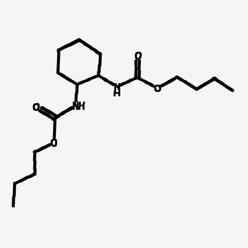 CCCCOC(=O)NC1CCCCC1NC(=O)OCCCC